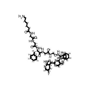 NCCCCCC(=O)NCC(=O)NCC(=O)N[C@@H](Cc1ccccc1)C(=O)NCC(=O)NCONC(=O)[C@H]1C2CCC(CC2)[C@@H]1Nc1nc(-c2n[nH]c3ncc(F)cc23)ncc1F